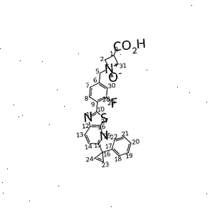 O=C(O)C1C[N+]([O-])(Cc2ccc(-c3nc4ccc(C5(c6ccccc6)C=C5)nc4s3)c(F)c2)C1